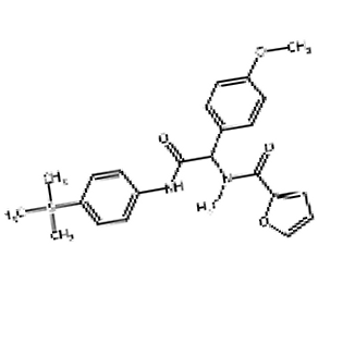 COc1ccc(C(C(=O)Nc2ccc(S(C)(C)C)cc2)N(C)C(=O)c2ccco2)cc1